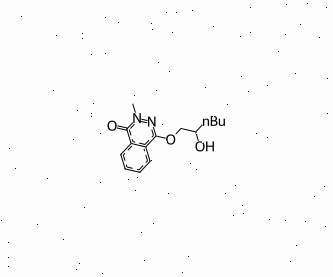 CCCCC(O)COc1nn(C)c(=O)c2ccccc12